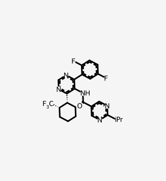 CC(C)c1ncc(C(=O)Nc2c(-c3cc(F)ccc3F)ncnc2[C@@H]2CCCC[C@@H]2C(F)(F)F)cn1